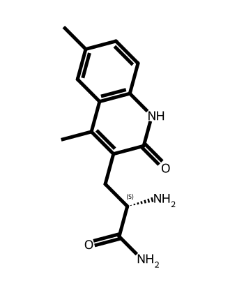 Cc1ccc2[nH]c(=O)c(C[C@H](N)C(N)=O)c(C)c2c1